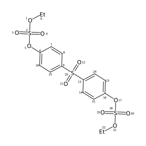 CCOS(=O)(=O)Oc1ccc(S(=O)(=O)c2ccc(OS(=O)(=O)OCC)cc2)cc1